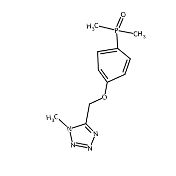 Cn1nnnc1COc1ccc(P(C)(C)=O)cc1